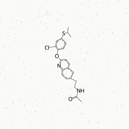 CC(=O)NCCc1ccc2nc(Oc3ccc(SC(C)C)cc3Cl)ccc2c1